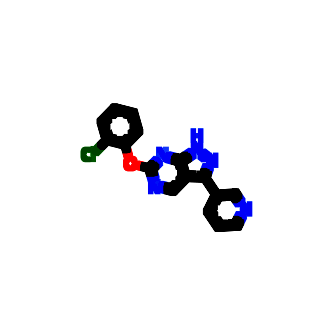 Clc1ccccc1Oc1ncc2c(-c3cccnc3)n[nH]c2n1